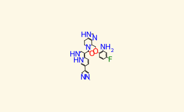 Cn1cc(C2=CN/C(=C(\C=N)C(=O)N3CCc4[nH]cnc4C3COc3ccc(F)cc3N)C=C2)cn1